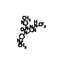 Cc1ccc(N2C(=O)N(c3ccc4nn(C)cc4c3)Cc3cnc(NCC(F)(F)F)nc32)cn1